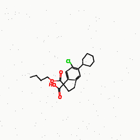 CCCCOC(=O)C1(C(=O)O)CCc2cc(C3CCCCC3)c(Cl)cc21